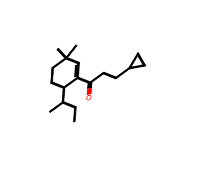 CCC(C)C1CCC(C)(C)C=C1C(=O)CCC1CC1